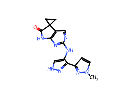 Cn1ccc(-c2n[nH]cc2Nc2ncc3c(n2)NC(=O)C32CC2)n1